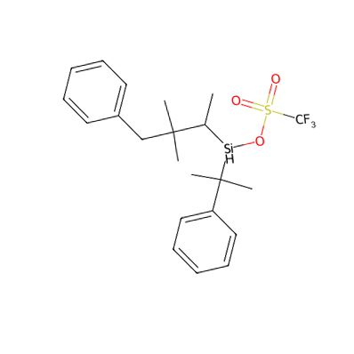 CC([SiH](OS(=O)(=O)C(F)(F)F)C(C)(C)c1ccccc1)C(C)(C)Cc1ccccc1